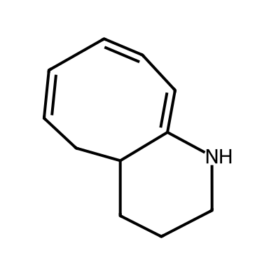 C1=CC=C2NCCCC2CC=C1